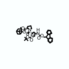 CC(C)(C)OC(=O)N1C[C@H](NC(=O)OCC2c3ccccc3-c3ccccc32)C[C@H]1C(=O)N1CCC[C@H]1P1OC2C3CC(CC2(C)O1)C3(C)C